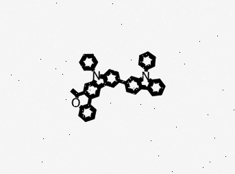 C=C1Oc2ccccc2-c2cc3c4cc(-c5ccc6c7ccccc7n(-c7ccccc7)c6c5)ccc4n(-c4ccccc4)c3cc21